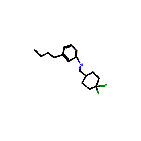 CCCCc1cccc(NCC2CCC(F)(F)CC2)c1